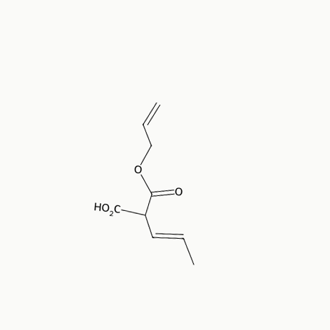 C=CCOC(=O)C(C=CC)C(=O)O